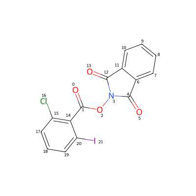 O=C(ON1C(=O)c2ccccc2C1=O)c1c(Cl)cccc1I